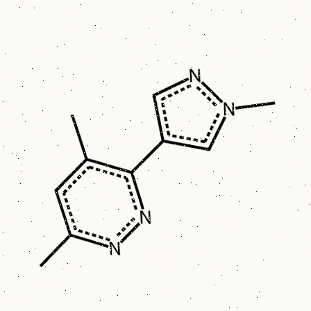 Cc1cc(C)c(-c2cnn(C)c2)nn1